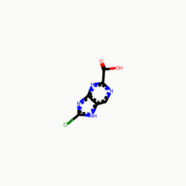 O=C(O)c1ncc2[nH]c(Cl)nc2n1